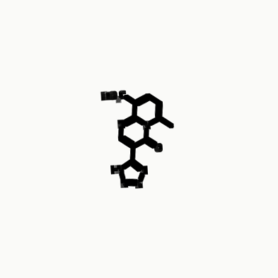 CCOC(=O)c1ccc(C)n2c(=O)c(-c3nnn[nH]3)cnc12